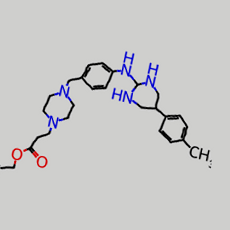 CCOC(=O)CCN1CCN(Cc2ccc(NC3NCC(c4ccc(C)cc4)CN3)cc2)CC1